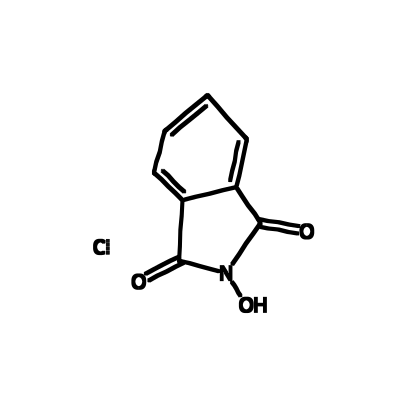 O=C1c2ccccc2C(=O)N1O.[C]